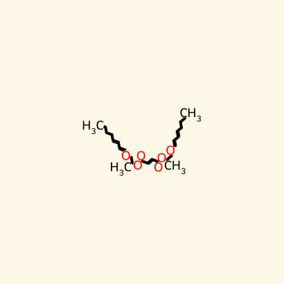 CCCCC=CC=COCC(C)OC(=O)C=CC(=O)OC(C)COC=CC=CCCCC